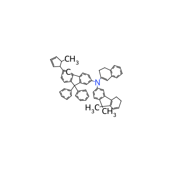 CC1C=C=CC1c1ccc2c(c1)-c1ccc(N(C3=Cc4ccccc4CC3)c3ccc4c(c3)C3=C(C=CCC3)C4(C)C)cc1C2(c1ccccc1)c1ccccc1